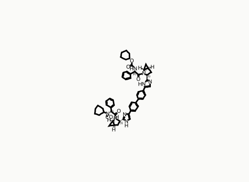 O=C(N[C@@H](C(=O)N1[C@@H]2C[C@H]2C[C@H]1c1ncc(-c2ccc(-c3ccc(-c4c[nH]c([C@@H]5C[C@H]6C[C@H]6N5C(=O)[C@@H](c5ccccc5)N(C(=O)O)C5CCCCC5)n4)cc3)cc2)[nH]1)c1ccccc1)OC1CCCCC1